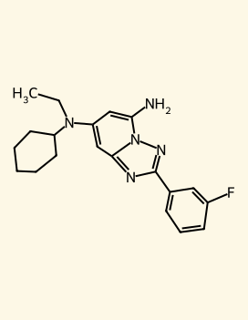 CCN(c1cc(N)n2nc(-c3cccc(F)c3)nc2c1)C1CCCCC1